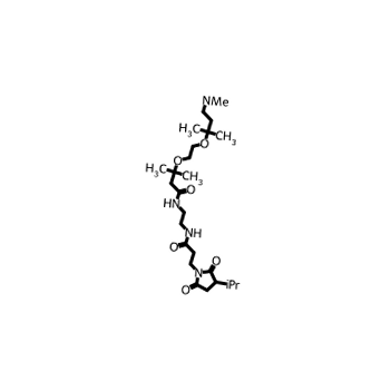 CNCCC(C)(C)OCCOC(C)(C)CC(=O)NCCNC(=O)CCN1C(=O)CC(C(C)C)C1=O